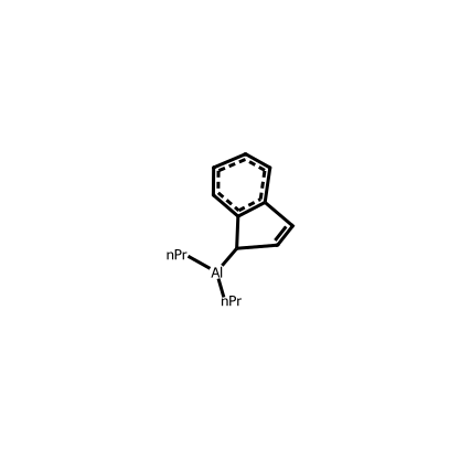 CC[CH2][Al]([CH2]CC)[CH]1C=Cc2ccccc21